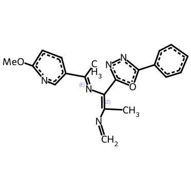 C=N/C(C)=C(\N=C(/C)c1ccc(OC)nc1)c1nnc(-c2ccccc2)o1